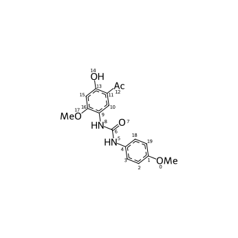 COc1ccc(NC(=O)Nc2cc(C(C)=O)c(O)cc2OC)cc1